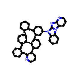 c1cc2c3c(c1)c1ccccc1c1ncccc1c1cccc(c1-3)c1cc(-n3c4ccccc4n4c5cccnc5nc34)ccc1c1ccccc21